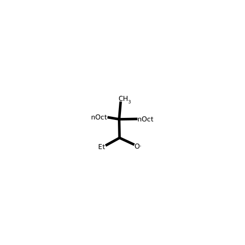 CCCCCCCCC(C)(CCCCCCCC)C([O])CC